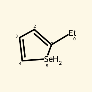 CCC1=CC=C[SeH2]1